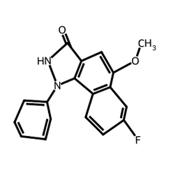 COc1cc2c(=O)[nH]n(-c3ccccc3)c2c2ccc(F)cc12